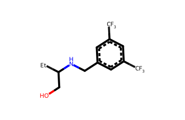 CCC(CO)NCc1cc(C(F)(F)F)cc(C(F)(F)F)c1